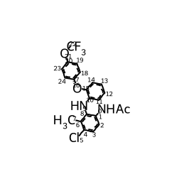 CC(=O)Nc1ccc(Cl)c(C)c1Nc1ccccc1Oc1ccc(OC(F)(F)F)cc1